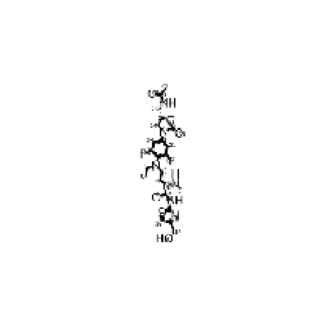 CCN(CCN(NC)C(=O)Nc1nc(CO)cs1)c1c(F)cc(N2C[C@H](CNC(C)=O)OC2=O)cc1F